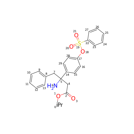 CC(C)OC(=O)CC(N)(Cc1ccccc1)c1ccc(OS(=O)(=O)c2ccccc2)cc1